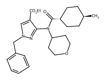 CCOC(=O)c1cn(Cc2ccccc2)nc1N(C(=O)[C@H]1CC[C@H](C)CC1)C1CCOCC1